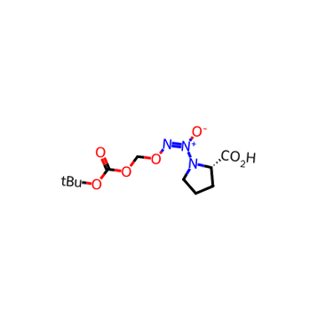 CC(C)(C)OC(=O)OCO/N=[N+](/[O-])N1CCC[C@H]1C(=O)O